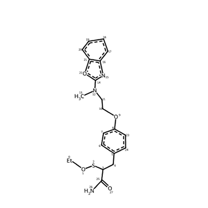 CCOSC(Cc1ccc(OCCN(C)c2nc3ccccc3o2)cc1)C(N)=O